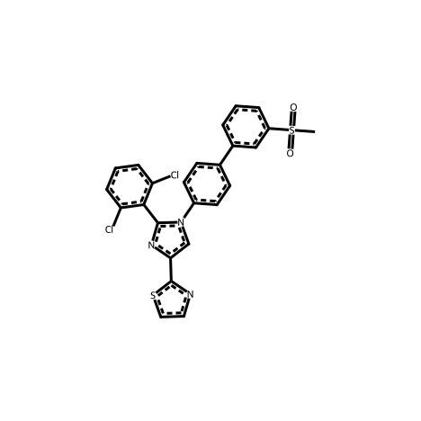 CS(=O)(=O)c1cccc(-c2ccc(-n3cc(-c4nccs4)nc3-c3c(Cl)cccc3Cl)cc2)c1